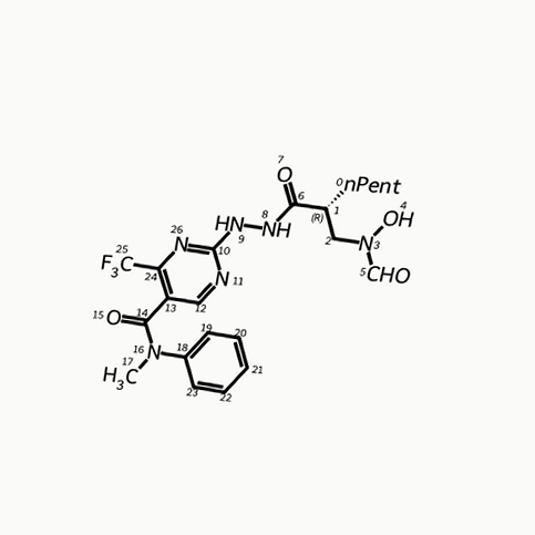 CCCCC[C@H](CN(O)C=O)C(=O)NNc1ncc(C(=O)N(C)c2ccccc2)c(C(F)(F)F)n1